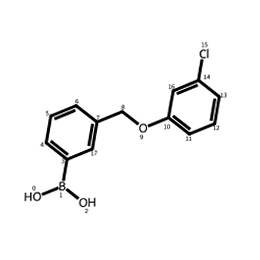 OB(O)c1cccc(COc2cccc(Cl)c2)c1